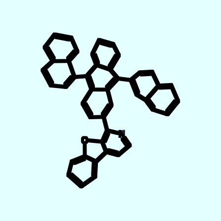 c1ccc2cc(-c3c4ccccc4c(-c4cccc5ccccc45)c4ccc(-c5nccc6c5oc5ccccc56)cc34)ccc2c1